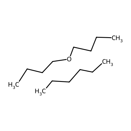 CCCCCC.CCCCOCCCC